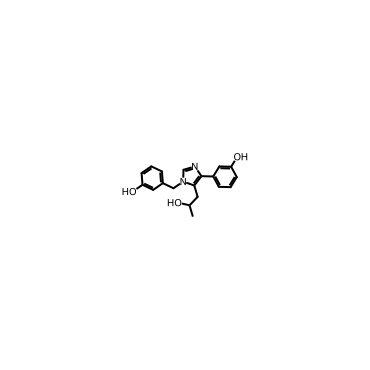 CC(O)Cc1c(-c2cccc(O)c2)ncn1Cc1cccc(O)c1